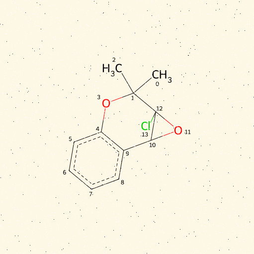 CC1(C)Oc2ccccc2C2OC21Cl